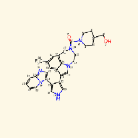 O=C(N1CCC(CO)CC1)N1CCn2cc(-c3c[nH]cc3-c3cnc4ccccn34)c3cc(C(F)(F)F)cc(c32)C1